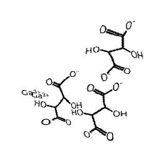 O=C([O-])C(O)C(O)C(=O)[O-].O=C([O-])C(O)C(O)C(=O)[O-].O=C([O-])C(O)C(O)C(=O)[O-].[Ga+3].[Ga+3]